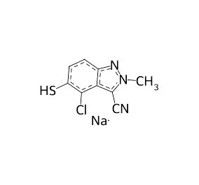 Cn1nc2ccc(S)c(Cl)c2c1C#N.[Na]